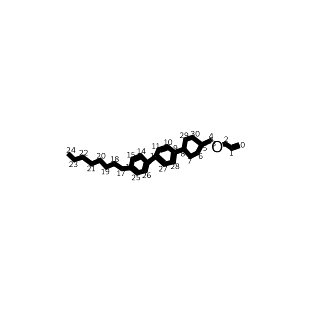 C=CCOCC1CCC(c2ccc(-c3ccc(CCCCCCCC)cc3)cc2)CC1